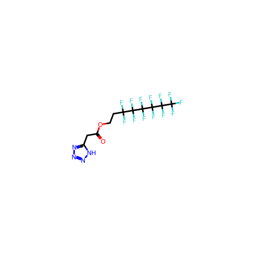 O=C(Cc1nnn[nH]1)OCCC(F)(F)C(F)(F)C(F)(F)C(F)(F)C(F)(F)C(F)(F)F